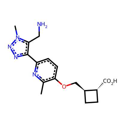 Cc1nc(-c2nnn(C)c2CN)ccc1OC[C@@H]1CC[C@H]1C(=O)O